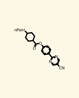 CCCCCC1CCC(C(=O)Oc2ccc(-c3ncc(C#N)cn3)cc2)CC1